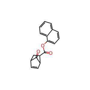 O=C1C2C=CC1C(C(=O)Oc1cccc3ccccc13)C2